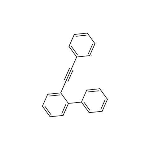 C(#Cc1ccccc1-c1ccccc1)c1[c]cccc1